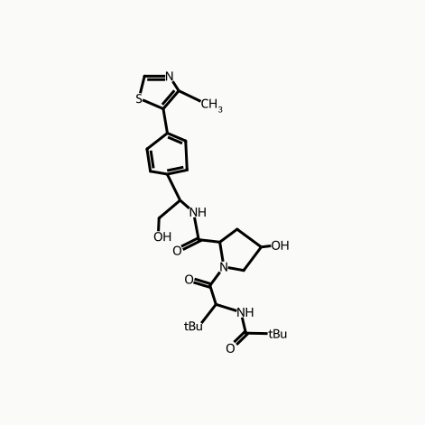 Cc1ncsc1-c1ccc(C(CO)NC(=O)C2CC(O)CN2C(=O)C(NC(=O)C(C)(C)C)C(C)(C)C)cc1